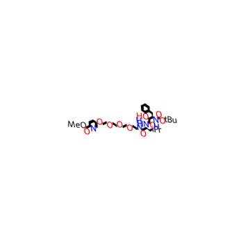 COC(=O)c1ccc(OCCOCCOCCOCCNC(=O)[C@H](CC(C)C)NC(=O)[C@@H](O)[C@@H](Cc2ccccc2)NC(=O)OC(C)(C)C)cn1